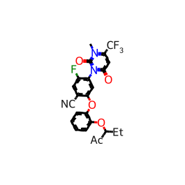 CCC(Oc1ccccc1Oc1cc(-n2c(=O)cc(C(F)(F)F)n(C)c2=O)c(F)cc1C#N)C(C)=O